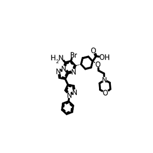 Nc1c(Br)c([C@H]2CC[C@](OCCN3CCOCC3)(C(=O)O)CC2)nc2c(-c3cnn(-c4ccccc4)c3)cnn12